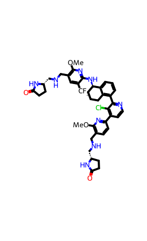 COc1nc(-c2ccnc(-c3cccc4c3CCC[C@H]4Nc3nc(OC)c(CNC[C@@H]4CCC(=O)N4)cc3C(F)(F)F)c2Cl)ccc1CNC[C@@H]1CCC(=O)N1